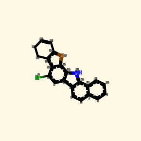 Brc1cc2c3ccc4ccccc4c3[nH]c2c2sc3c(c12)CCC=C3